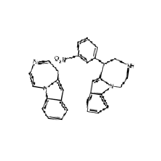 C1=Cn2c(cc3ccccc32)CC=N1.O=[N+]([O-])c1cccc(C2CNCCn3c2cc2ccccc23)c1